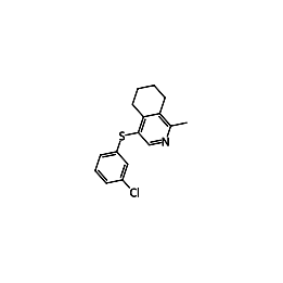 Cc1ncc(Sc2cccc(Cl)c2)c2c1CCCC2